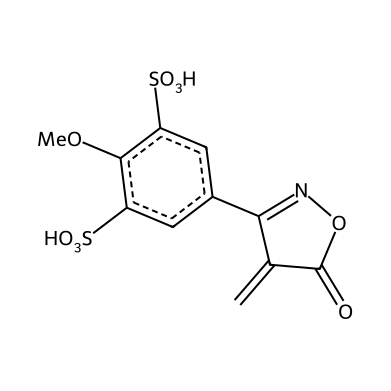 C=C1C(=O)ON=C1c1cc(S(=O)(=O)O)c(OC)c(S(=O)(=O)O)c1